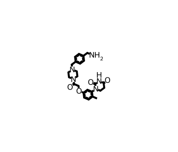 Cc1ccc(OCC(=O)N2CCN(Cc3ccc(CN)cc3)CC2)cc1N1CCC(=O)NC1=O